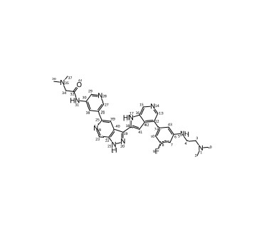 CN(C)CCNc1cc(F)cc(-c2cncc3[nH]c(-c4n[nH]c5cnc(-c6cncc(NC(=O)CN(C)C)c6)cc45)cc23)c1